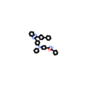 c1ccc(-c2ccc(-c3nc4ccccc4nc3-c3ccc(N(c4ccccc4)c4ccc(-c5nnc(-c6ccccc6)o5)cc4)cc3)cc2)cc1